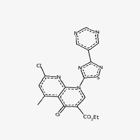 CCOC(=O)c1cn(-c2nc(-c3cncnc3)ns2)c2nc(Cl)cc(C)c2c1=O